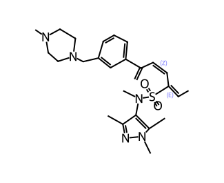 C=C(/C=C\C(=C/C)S(=O)(=O)N(C)c1c(C)nn(C)c1C)c1cccc(CN2CCN(C)CC2)c1